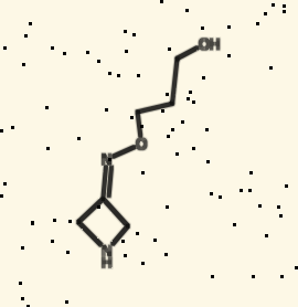 OCCCON=C1CNC1